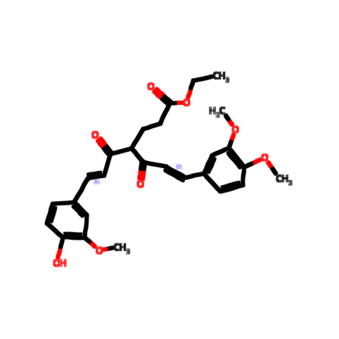 CCOC(=O)CCC(C(=O)/C=C/c1ccc(O)c(OC)c1)C(=O)/C=C/c1ccc(OC)c(OC)c1